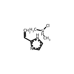 C=Cc1ncc[nH]1.C[SiH](C)Cl